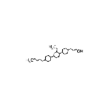 CCCCCC1CCC(C2CCC(C3CCC(CCCO)CC3)C(CC)C2)CC1